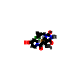 CCn1c(=O)c2c(C)c(C(=O)N3CCC(O)CC3)sc2n(CC2CC2(F)F)c1=O